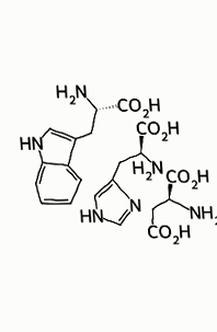 N[C@@H](CC(=O)O)C(=O)O.N[C@@H](Cc1c[nH]c2ccccc12)C(=O)O.N[C@@H](Cc1c[nH]cn1)C(=O)O